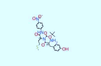 CSCC[C@@H](C(=O)Nc1ccc([N+](=O)[O-])cc1)N(C(=O)OC(C)(C)C)C(=O)[C@@H](N)Cc1ccc(O)cc1